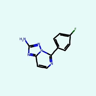 Nc1nc2ccnc(-c3ccc(F)cc3)n2n1